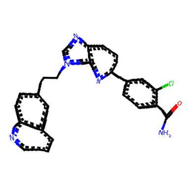 NC(=O)c1ccc(-c2ccc3ncn(CCc4ccc5ncccc5c4)c3n2)cc1Cl